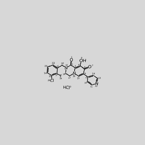 Cl.O=C1c2c(O)c(=O)c(-c3ccncc3)cn2CCN1Cc1cccc(Cl)c1F